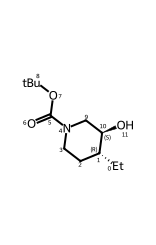 CC[C@@H]1CCN(C(=O)OC(C)(C)C)C[C@H]1O